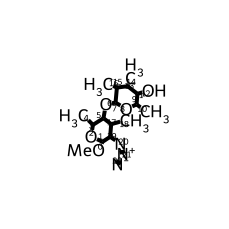 COC1OC(C)C(OC2OC(C)C(O)C(C)C2C)C(C)C1N=[N+]=[N-]